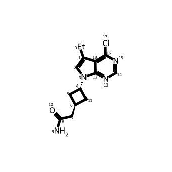 CCc1cn([C@H]2C[C@H](CC(N)=O)C2)c2ncnc(Cl)c12